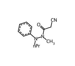 CCCN(c1ccccc1)N(C)C(=O)CC#N